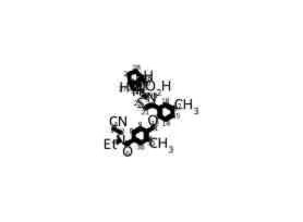 CCN(CCC#N)C(=O)c1ccc(COc2ccc(C)cc2-c2csc(N3C[C@H]4CC[C@@H](C3)[C@H]4C(=O)O)n2)c(C)c1